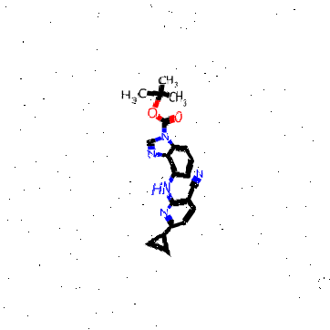 CC(C)(C)OC(=O)n1cnc2c(Nc3nc(C4CC4)ccc3C#N)cccc21